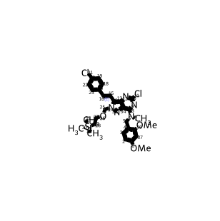 COc1ccc(CN(C)c2nc(Cl)nc3c(/C=C/c4ccc(Cl)cc4)n(COCC[Si](C)(C)C)nc23)c(OC)c1